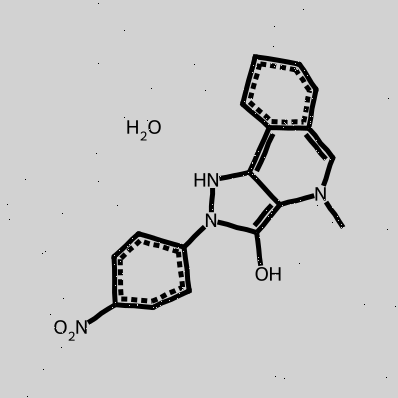 CN1C=c2ccccc2=C2NN(c3ccc([N+](=O)[O-])cc3)C(O)=C21.O